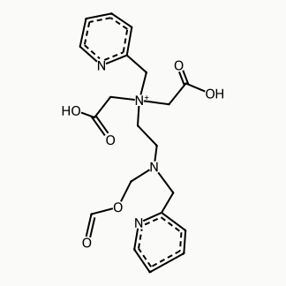 O=COCN(CC[N+](CC(=O)O)(CC(=O)O)Cc1ccccn1)Cc1ccccn1